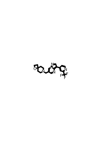 FC(F)(F)c1cc(-c2cnn3cc(CN4CCC5(CCO5)CC4)cnc23)ccn1